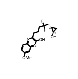 COc1ccc2nc(CCCC(F)(F)C[C@@H]3C[C@H]3O)c(O)nc2c1